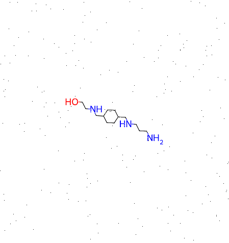 NCCCNCC1CCC(CNCCO)CC1